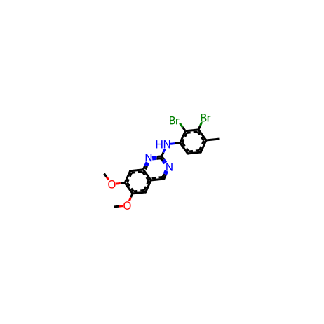 COc1cc2cnc(Nc3ccc(C)c(Br)c3Br)nc2cc1OC